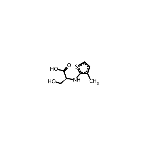 Cc1ccsc1N[C@@H](CO)C(=O)O